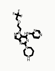 FC(F)(F)COCCn1ncc2nc(N3CCCNCC3)nc(Nc3ccncn3)c21